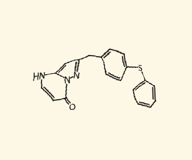 O=c1cc[nH]c2cc(Cc3ccc(Sc4ccccc4)cc3)nn12